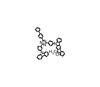 CC1(C)c2ccccc2-c2cc3c4ccccc4n(-c4ccc(-c5nc(-c6ccc(-c7ccccc7)cc6)nc(-c6cccc(-n7c8ccccc8c8ccccc87)c6)n5)cc4)c3cc21